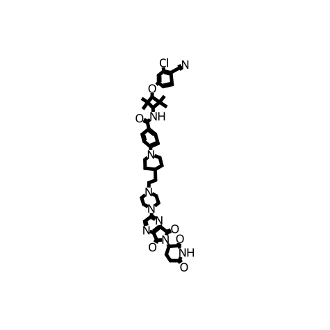 CC1(C)C(NC(=O)c2ccc(N3CCC(CCN4CCN(c5cnc6c(n5)C(=O)N(C5CCC(=O)NC5=O)C6=O)CC4)CC3)cc2)C(C)(C)C1Oc1ccc(C#N)c(Cl)c1